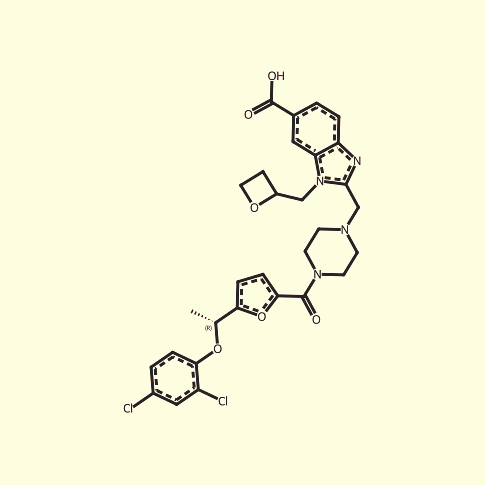 C[C@@H](Oc1ccc(Cl)cc1Cl)c1ccc(C(=O)N2CCN(Cc3nc4ccc(C(=O)O)cc4n3CC3CCO3)CC2)o1